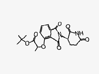 CC(Oc1cccc2c1C(=O)N([C@@H]1CCC(=O)NC1=O)C2=O)C(=O)OC(C)(C)C